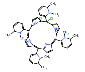 CC1C=CC=C(C2=C3C=CC(=N3)C(C3=CC=CC(C)N3C)=c3ccc([nH]3)=C(C3=CC=CC(C)N3C)C3=NC(Cl)(C=C3)C(Cl)(C3=CC=CC(C)N3C)c3ccc2[nH]3)N1C